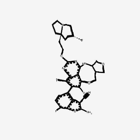 N#Cc1c(N)sc2c(F)ccc(-c3c(Cl)c4c5c(nc(OCC[C@@]67CCCN6C[C@H](F)C7)nc5c3F)NC3COCC3CO4)c12